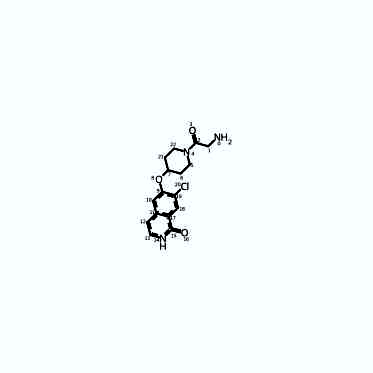 NCC(=O)N1CCC(Oc2cc3cc[nH]c(=O)c3cc2Cl)CC1